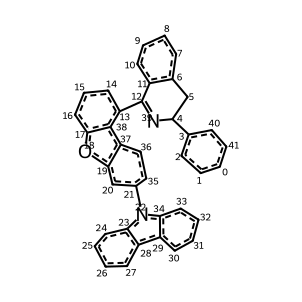 c1ccc(C2Cc3ccccc3C(c3cccc4oc5cc(-n6c7ccccc7c7ccccc76)ccc5c34)=N2)cc1